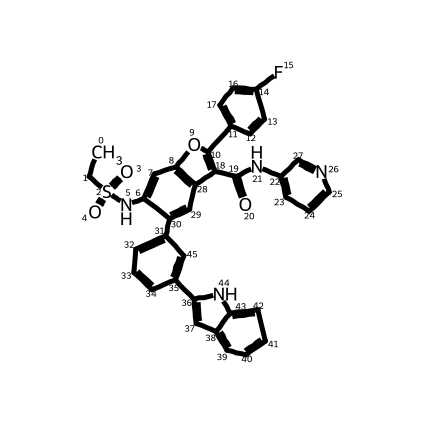 CCS(=O)(=O)Nc1cc2oc(-c3ccc(F)cc3)c(C(=O)Nc3cccnc3)c2cc1-c1cccc(-c2cc3ccccc3[nH]2)c1